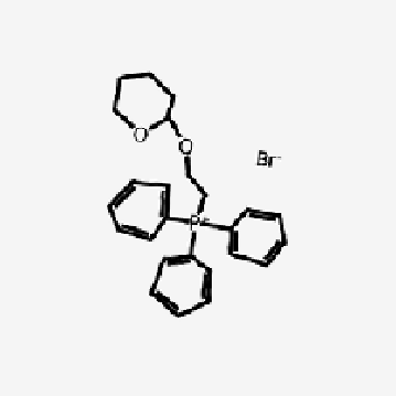 [Br-].c1ccc([P+](CCOC2CCCCO2)(c2ccccc2)c2ccccc2)cc1